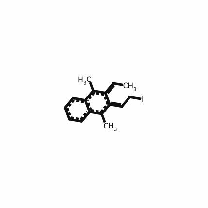 C/C=c1/c(C)c2ccccc2c(C)/c1=C/CI